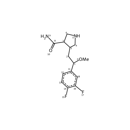 COC(CC1CNCC1C(N)=O)c1ccc(F)c(F)c1